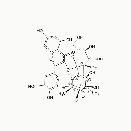 C[C@H]1OC(C2(Oc3c(-c4ccc(O)c(O)c4)oc4cc(O)cc(O)c4c3=O)O[C@H](CO)[C@@H](O)[C@H](O)[C@]2(O)C2O[C@H](C)[C@@H](O)[C@H](O)[C@@H]2O)[C@@H](O)[C@@H](O)[C@@H]1O